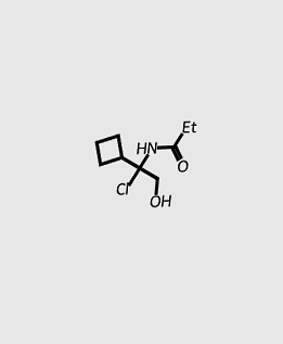 CCC(=O)NC(Cl)(CO)C1CCC1